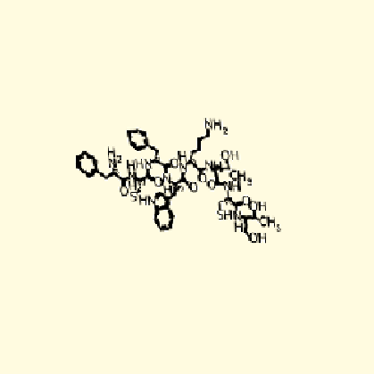 CC(O)C(CO)NC(=O)[C@H](CS)NC(=O)[C@@H](NC(=O)[C@H](CCCCN)NC(=O)[C@@H](Cc1c[nH]c2ccccc12)NC(=O)[C@H](Cc1ccccc1)NC(=O)[C@H](CS)NC(=O)[C@H](N)Cc1ccccc1)C(C)O